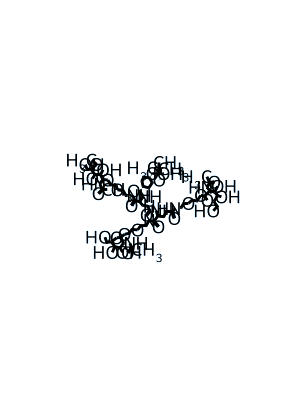 COC(CO)C(O)C(O)C(NC(C)=O)OCCOCCNC(=O)C(CCC(=O)NC(CCC(=O)NCCOCCOC1OC(CO)C(O)C(O)C1NC(C)=O)C(=O)NCCOCCOC1OC(CO)C(O)C(O)C1NC(C)=O)NC(=O)[C@H]1CC[C@@H](OP(=O)(O)C(C)(C)C)CC1